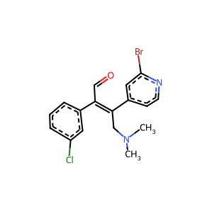 CN(C)CC(=C(C=O)c1cccc(Cl)c1)c1ccnc(Br)c1